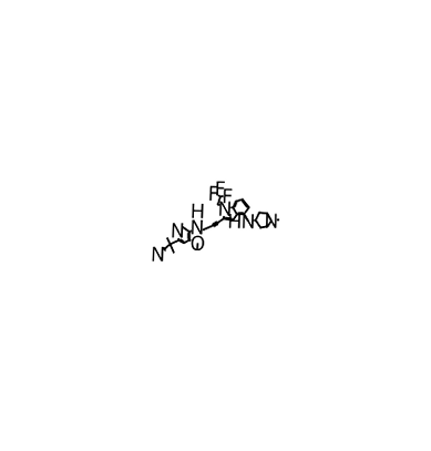 COc1cc(C(C)(C)C#N)ncc1NCC#Cc1cc2c(NC3CCN(C)CC3)cccc2n1CC(F)(F)F